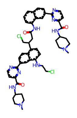 CN1CCC(NC(=O)c2ccnc(-c3ccc4cccc(NC(=O)CC(CCl)c5ccc(NCCCl)c6cc(-c7nccc(C(=O)NC8CCN(C)CC8)n7)ccc56)c4c3)n2)CC1